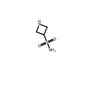 NS(=O)(=O)C1CNC1